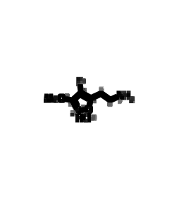 COc1noc(CCN)c1F.Cl